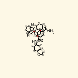 NC(=O)c1cccc([C@H]2C[C@H]3CC[C@@H](C2)N3CCN(CC2CCCCC2)C(=O)Nc2ccc3c(c2)OCO3)c1